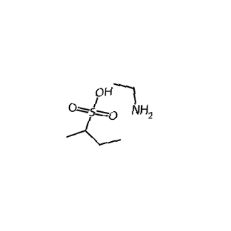 CCC(C)S(=O)(=O)O.CCN